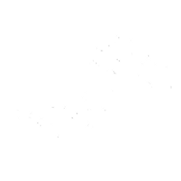 Cc1ccc(-c2cnc3cnc(-c4ccc(C(=O)N5CCC(NC(=O)C(F)(F)F)CC5)cc4)cn23)cc1